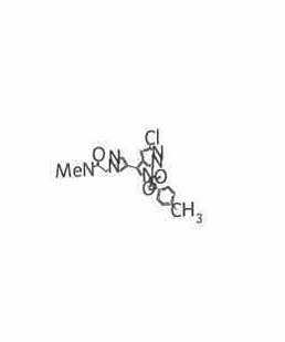 CNC(=O)Cn1cc(-c2cn(S(=O)(=O)c3ccc(C)cc3)c3nnc(Cl)cc23)cn1